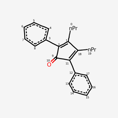 CCCC1=C(c2ccccc2)C(=O)C(c2ccccc2)=C1CCC